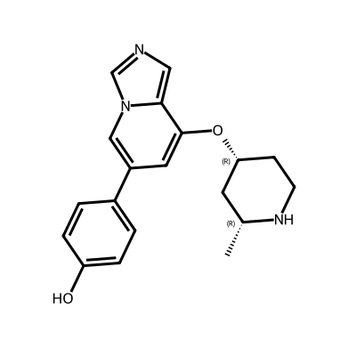 C[C@@H]1C[C@H](Oc2cc(-c3ccc(O)cc3)cn3cncc23)CCN1